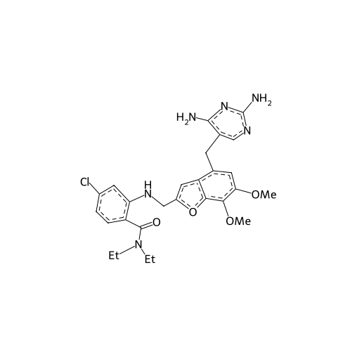 CCN(CC)C(=O)c1ccc(Cl)cc1NCc1cc2c(Cc3cnc(N)nc3N)cc(OC)c(OC)c2o1